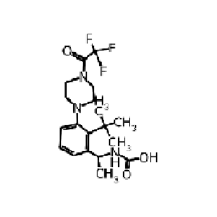 C[C@H](NC(=O)O)c1cccc(N2CCN(C(=O)C(F)(F)F)CC2)c1C(C)(C)C